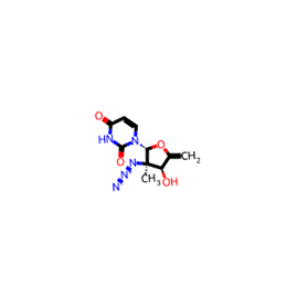 C=C1O[C@@H](n2ccc(=O)[nH]c2=O)[C@](C)(N=[N+]=[N-])[C@@H]1O